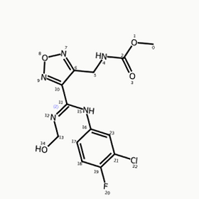 COC(=O)NCc1nonc1/C(=N/CO)Nc1ccc(F)c(Cl)c1